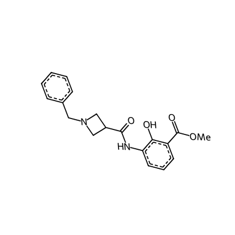 COC(=O)c1cccc(NC(=O)C2CN(Cc3ccccc3)C2)c1O